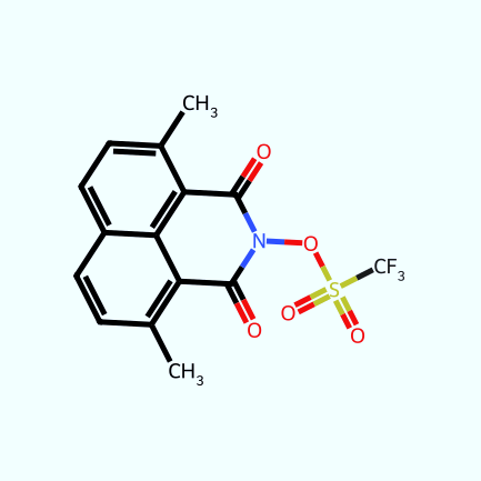 Cc1ccc2ccc(C)c3c2c1C(=O)N(OS(=O)(=O)C(F)(F)F)C3=O